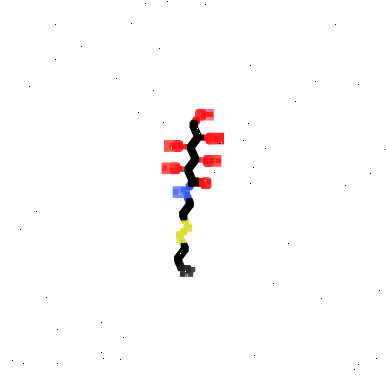 CC(C)CCSSCCNC(=O)[C@H](O)[C@@H](O)[C@H](O)[C@H](O)CO